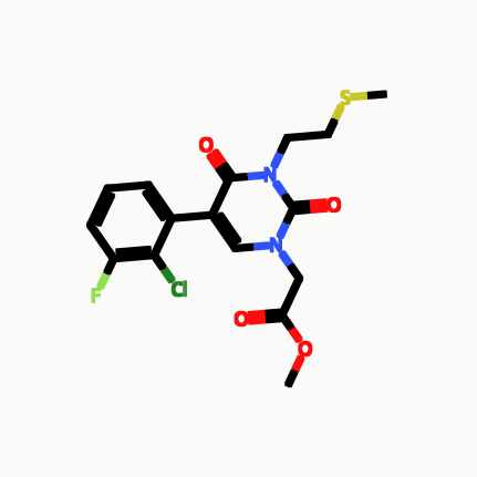 COC(=O)Cn1cc(-c2cccc(F)c2Cl)c(=O)n(CCSC)c1=O